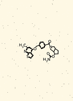 Cc1cc(OCc2ccc(C(=O)N3CC4CCC(OC(N)=O)C4C3)cc2)c2ccsc2n1